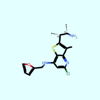 Cc1c([C@H](C)[C@H](C)N)sc2c(NCc3ccco3)cc(Cl)nc12